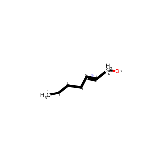 CCCC/C=C/[SiH2][O]